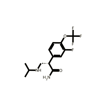 CC(C)NC[C@@H](C(N)=O)c1ccc(OC(F)(F)F)c(F)c1